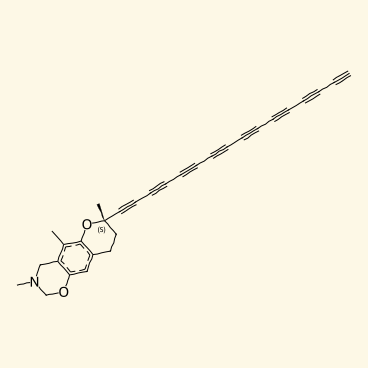 C#CC#CC#CC#CC#CC#CC#CC#C[C@]1(C)CCc2cc3c(c(C)c2O1)CN(C)CO3